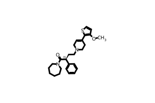 COc1ccsc1C1=CCN(CC[C@H](C(=O)N2CCCCCC2)c2ccccc2)CC1